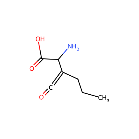 CCCC(=C=O)C(N)C(=O)O